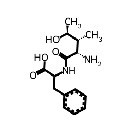 C[C@@H]([C@H](C)O)[C@H](N)C(=O)NC(Cc1ccccc1)C(=O)O